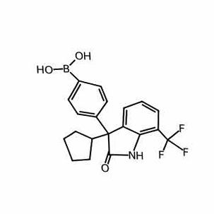 O=C1Nc2c(C(F)(F)F)cccc2C1(c1ccc(B(O)O)cc1)C1CCCC1